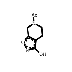 CC(=O)N1CCc2c(O)noc2C1